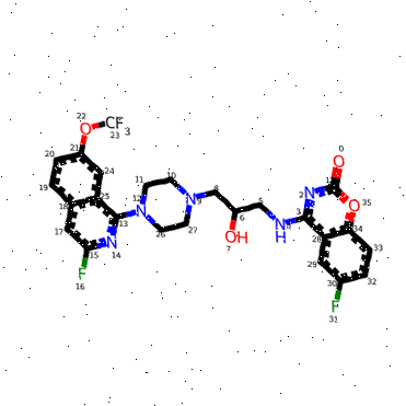 O=c1nc(NCC(O)CN2CCN(c3nc(F)cc4ccc(OC(F)(F)F)cc34)CC2)c2cc(F)ccc2o1